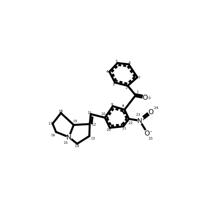 O=C(c1ccccc1)c1cc(/C=C2\CCN3CCCC23)ccc1[N+](=O)[O-]